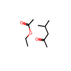 CC(=O)CC(C)C.CCOC(C)=O